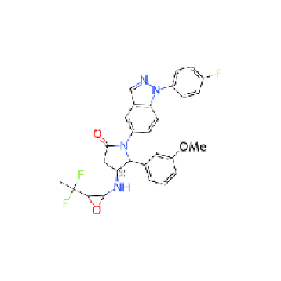 COc1cccc(C2[C@@H](NC3OC3C(C)(F)F)CC(=O)N2c2ccc3c(cnn3-c3ccc(F)cc3)c2)c1